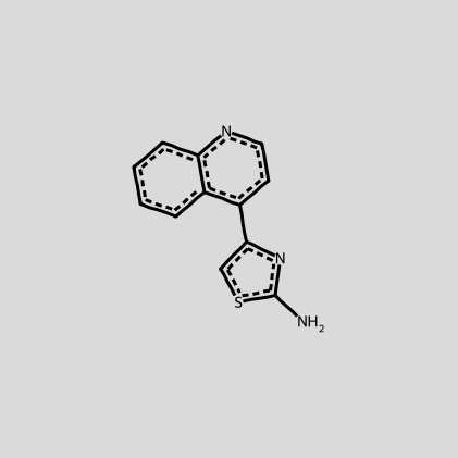 Nc1nc(-c2ccnc3ccccc23)cs1